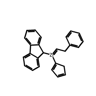 C1=CC[C](/[Zr](=[CH]\Cc2ccccc2)[CH]2c3ccccc3-c3ccccc32)=C1